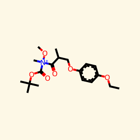 CCOc1ccc(OCC(C)C(=O)[N+](C)(OC)C(=O)OC(C)(C)C)cc1